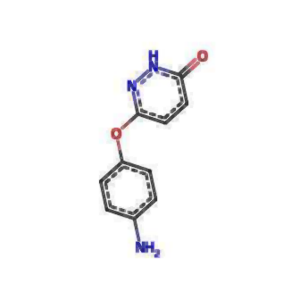 Nc1ccc(Oc2ccc(=O)[nH]n2)cc1